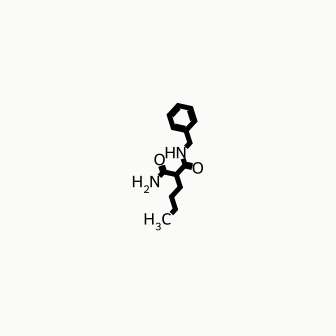 CCCCC(C(N)=O)C(=O)NCc1ccccc1